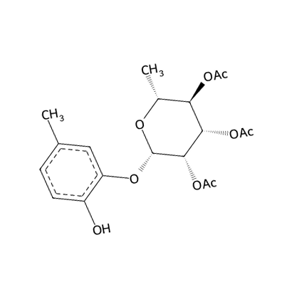 CC(=O)O[C@@H]1[C@H](OC(C)=O)[C@H](Oc2cc(C)ccc2O)O[C@H](C)[C@H]1OC(C)=O